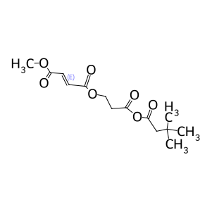 COC(=O)/C=C/C(=O)OCCC(=O)OC(=O)CC(C)(C)C